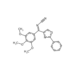 COc1cc(C(=NC#N)c2csc(-c3ccccc3)n2)cc(OC)c1OC